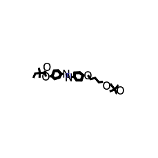 CCC(C)(C)C(=O)Oc1ccc(/N=N/c2ccc(OCCCCOCC3(C)COC3)cc2)cc1